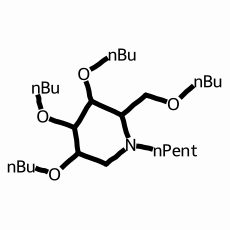 CCCCCN1CC(OCCCC)C(OCCCC)C(OCCCC)C1COCCCC